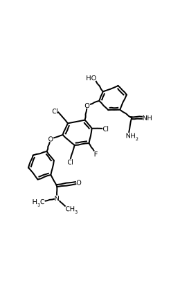 CN(C)C(=O)c1cccc(Oc2c(Cl)c(F)c(Cl)c(Oc3cc(C(=N)N)ccc3O)c2Cl)c1